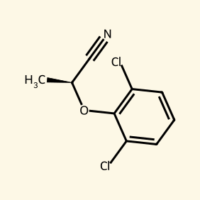 C[C@@H](C#N)Oc1c(Cl)cccc1Cl